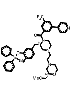 COC[C@@H]1CN(CCN2CCN(C(=O)c3cc(-c4ccncc4)cc(C(F)(F)F)c3)[C@H](Cc3ccc(C)c(O[Si](c4ccccc4)(c4ccccc4)C(C)(C)C)c3)C2)CCO1